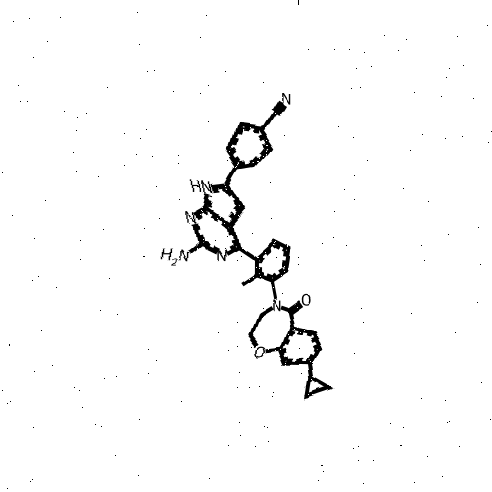 Cc1c(-c2nc(N)nc3[nH]c(-c4ccc(C#N)cc4)cc23)cccc1N1CCOc2cc(C3CC3)ccc2C1=O